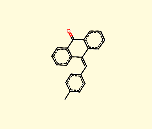 Cc1ccc(C=C2c3ccccc3C(=O)c3ccccc32)cc1